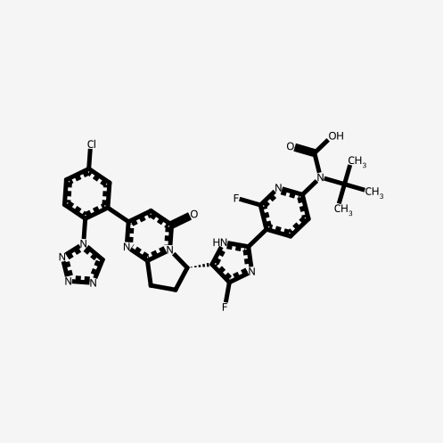 CC(C)(C)N(C(=O)O)c1ccc(-c2nc(F)c([C@@H]3CCc4nc(-c5cc(Cl)ccc5-n5cnnn5)cc(=O)n43)[nH]2)c(F)n1